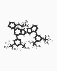 CC(C)(C)c1cc(-c2cccc3c2C=C[CH]3[Hf]([CH3])([CH3])([CH3])(=[CH]Cc2ccccc2)[CH]2C=Cc3c(-c4cc(C(C)(C)C)cc(C(C)(C)C)c4)cccc32)cc(C(C)(C)C)c1